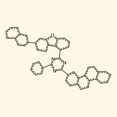 c1ccc(-c2nc(-c3ccc4ccc5c6ccccc6ccc5c4c3)nc(-c3cccc4oc5cc(-c6ccc7ccccc7c6)ccc5c34)n2)cc1